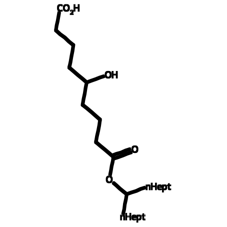 CCCCCCCC(CCCCCCC)OC(=O)CCCC(O)CCCC(=O)O